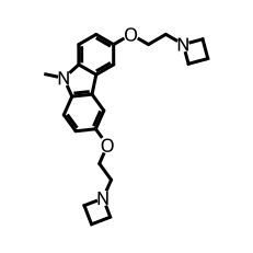 Cn1c2ccc(OCCN3CCC3)cc2c2cc(OCCN3CCC3)ccc21